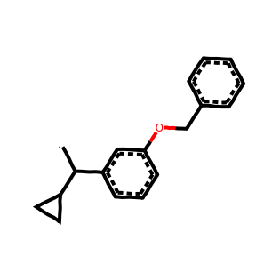 [CH2]C(c1cccc(OCc2ccccc2)c1)C1CC1